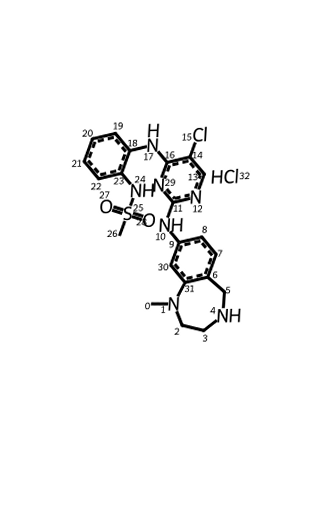 CN1CCNCc2ccc(Nc3ncc(Cl)c(Nc4ccccc4NS(C)(=O)=O)n3)cc21.Cl